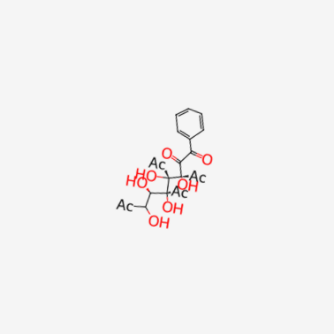 CC(=O)C(O)[C@@H](O)[C@](O)(C(C)=O)[C@@](O)(C(C)=O)[C@](O)(C(C)=O)C(=O)C(=O)c1ccccc1